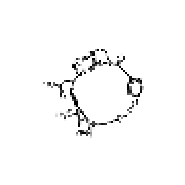 Cc1c2ccc3c1nnn3CCCCCOc1ccc(cc1)C(=O)N1CCc3ccc(cc3C1)C2CC(=O)O